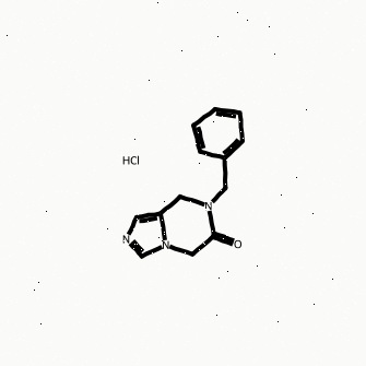 Cl.O=C1Cn2cncc2CN1Cc1ccccc1